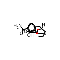 NC(=O)c1ccc2c(c1O)[C@]13CCC[C@H](C2)C1CCC(=O)C3